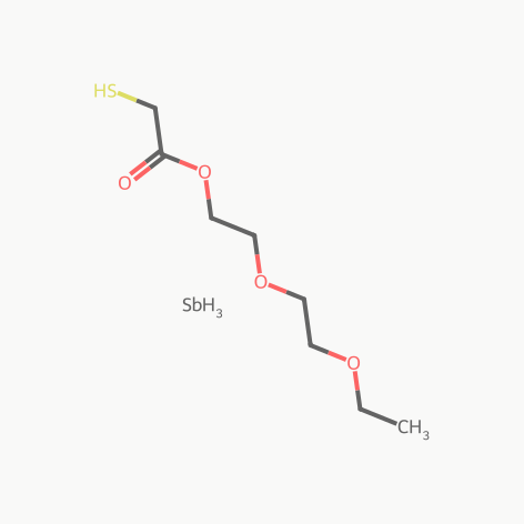 CCOCCOCCOC(=O)CS.[SbH3]